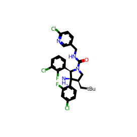 CC(C)(C)C[C@@H]1CN(C(=O)NCc2ccc(Cl)nc2)[C@H](c2cccc(Cl)c2F)[C@@]1(N)c1ccc(Cl)cc1F